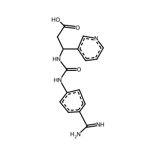 N=C(N)c1ccc(NC(=O)NC(CC(=O)O)c2cccnc2)cc1